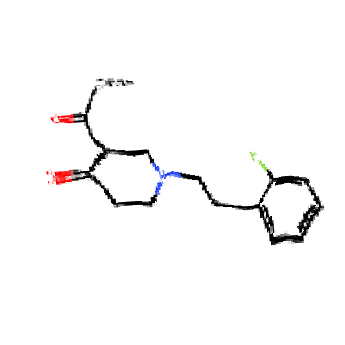 COC(=O)C1CN(CCc2ccccc2F)CCC1=O